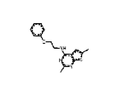 Cc1nc(NCCOc2ccccc2)c2cc(C)sc2n1